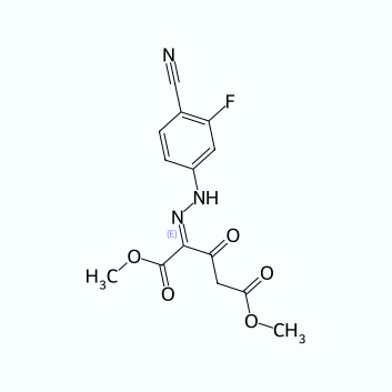 COC(=O)CC(=O)/C(=N\Nc1ccc(C#N)c(F)c1)C(=O)OC